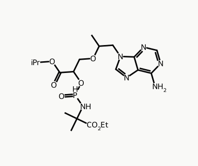 CCOC(=O)C(C)(C)N[PH](=O)OC(COC(C)Cn1cnc2c(N)ncnc21)C(=O)OC(C)C